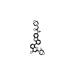 C[C@H]1COCCN1c1cc(=O)c2cccc(-c3cccc4c3sc3ccc(N(C)C(=O)CN5CCOCC5)cc34)c2o1